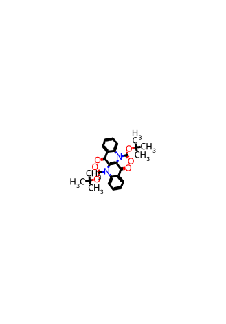 CC(C)(C)OC(=O)n1c2ccccc2c(=O)c2c1c(=O)c1ccccc1n2C(=O)OC(C)(C)C